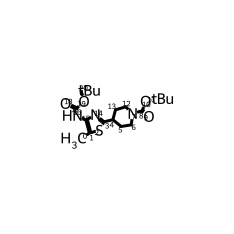 Cc1sc(C2CCN(C(=O)OC(C)(C)C)CC2)nc1NC(=O)OC(C)(C)C